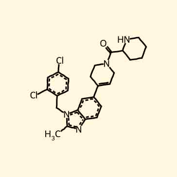 Cc1nc2ccc(C3=CCN(C(=O)C4CCCCN4)CC3)cc2n1Cc1ccc(Cl)cc1Cl